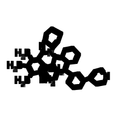 Bc1c(B)c(B)c(-c2nc3ccccc3n2-c2c3ccccc3c(-c3cccc(-c4ccncc4)c3)c3ccccc23)c(B)c1B